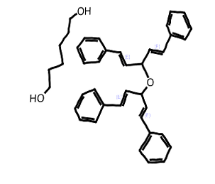 C(=C\C(/C=C/c1ccccc1)OC(/C=C/c1ccccc1)/C=C/c1ccccc1)/c1ccccc1.OCCCCCCO